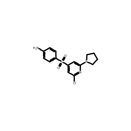 Nc1ccc(S(=O)(=O)c2cc(Cl)nc(N3CCCC3)c2)cc1